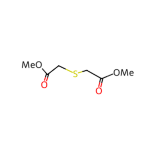 COC(=O)CSCC(=O)OC